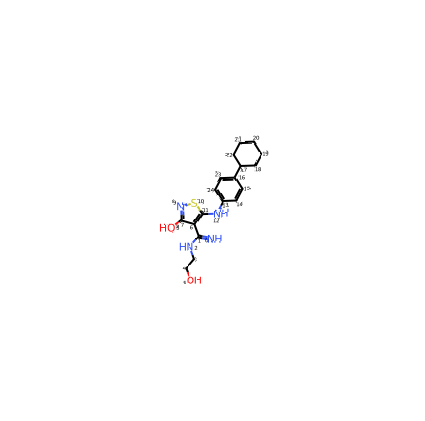 N=C(NCCO)c1c(O)nsc1Nc1ccc(C2CCCCC2)cc1